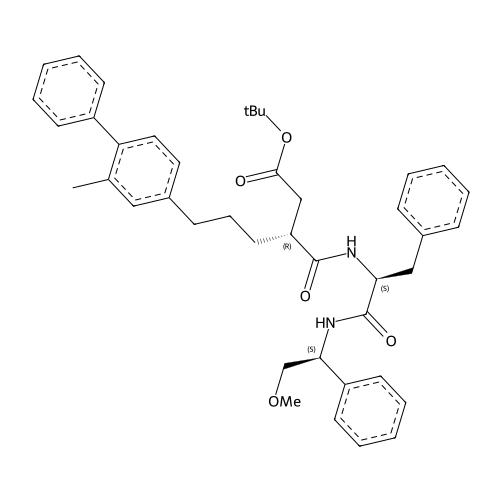 COC[C@@H](NC(=O)[C@H](Cc1ccccc1)NC(=O)[C@H](CCCc1ccc(-c2ccccc2)c(C)c1)CC(=O)OC(C)(C)C)c1ccccc1